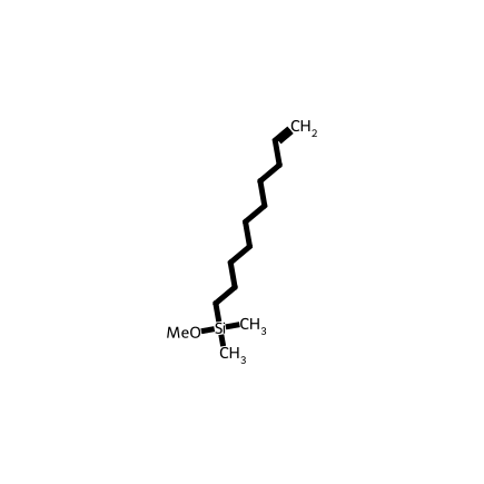 C=CCCCCCCCC[Si](C)(C)OC